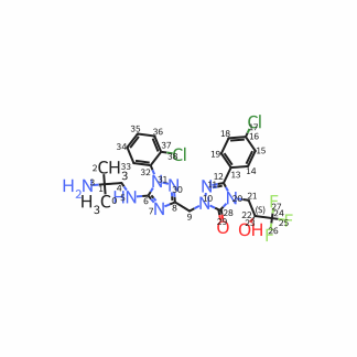 CC(C)(N)CNc1nc(Cn2nc(-c3ccc(Cl)cc3)n(C[C@H](O)C(F)(F)F)c2=O)nn1-c1ccccc1Cl